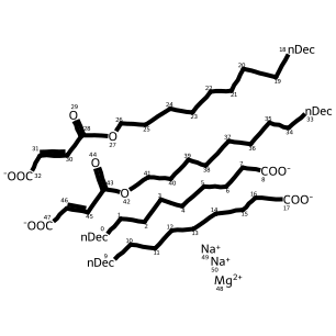 CCCCCCCCCCCCCCCCCC(=O)[O-].CCCCCCCCCCCCCCCCCC(=O)[O-].CCCCCCCCCCCCCCCCCCOC(=O)/C=C/C(=O)[O-].CCCCCCCCCCCCCCCCCCOC(=O)/C=C/C(=O)[O-].[Mg+2].[Na+].[Na+]